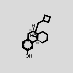 Oc1ccc2c(c1)[C@@]13CCCCC1(O)[C@@H](C2)N(CC1CCC1)CC3